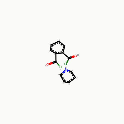 O=C(Cl)c1ccccc1C(=O)Cl.c1ccncc1